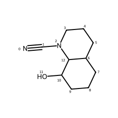 N#CN1CCCC2CCCC(O)C21